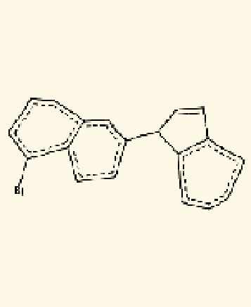 Brc1cccc2cc(C3C=Cc4ccccc43)ccc12